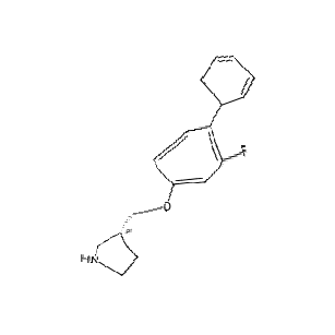 Fc1cc(OC[C@@H]2CCNC2)ccc1C1C=CC=CC1